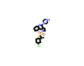 Cc1c(S(=O)(=O)n2ccc3c(N4CCNCC4)nc4ccccc4c32)sc2ccc(Cl)cc12